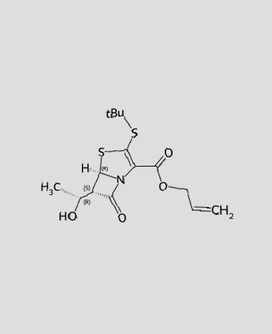 C=CCOC(=O)C1=C(SC(C)(C)C)S[C@@H]2[C@@H]([C@@H](C)O)C(=O)N12